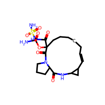 NC(=O)OC1(C(=O)NS(N)(=O)=O)CCCCC/C=C/C2CC2NC(=O)C2CCCN2C1=O